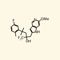 COc1cc2[nH]c(CC(O)(CC(C)(C)c3cc(F)ccc3C)C(F)(F)F)cc2cn1